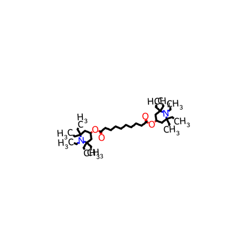 CCN1C(CC)(CC)CC(OC(=O)CCCCCCCCC(=O)OC2CC(CC)(CC)N(CC)C(CC)(CC)C2)CC1(CC)CC